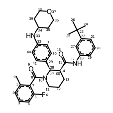 Cc1cccc(F)c1C(=O)N1CCC[C@H](C(=O)Nc2cccc(C(C)(C)C)c2)[C@@H]1c1ccc(NC2CCOCC2)cc1